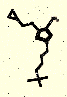 C[Si](C)(C)CCOCn1cc(N)c(OCC2CC2)n1